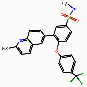 CNS(=O)(=O)c1ccc(Oc2ccc(C(F)(F)F)cc2)c(-c2ccc3nc(C)ccc3c2)c1